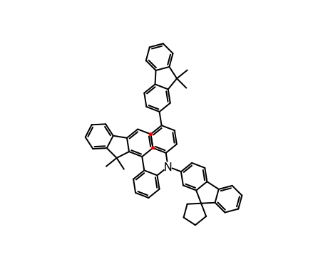 CC1(C)c2ccccc2-c2ccc(-c3ccc(N(c4ccc5c(c4)C4(CCCC4)c4ccccc4-5)c4ccccc4-c4cccc5c4C(C)(C)c4ccccc4-5)cc3)cc21